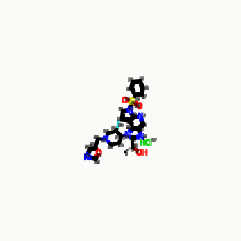 C[C@@H](O)c1nc2cnc3c(ccn3S(=O)(=O)c3ccccc3)c2n1[C@H]1CCN(Cc2cnco2)C[C@H]1F.Cl